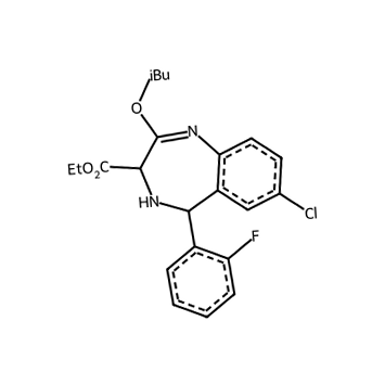 CCOC(=O)C1NC(c2ccccc2F)c2cc(Cl)ccc2N=C1OC(C)CC